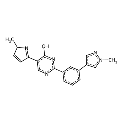 CC1C=CC(c2cnc(-c3cccc(-c4cnn(C)c4)c3)nc2O)=N1